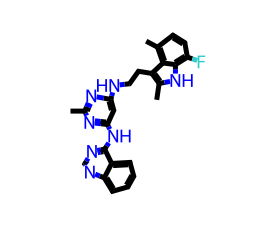 Cc1nc(NCCc2c(C)[nH]c3c(F)ccc(C)c23)cc(Nc2ncnc3ccccc23)n1